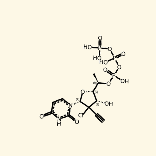 C#CC1(Cl)[C@@H](O)[C@@H]([C@@H](C)OP(=O)(O)OP(=O)(O)OP(=O)(O)O)O[C@H]1n1ccc(=O)[nH]c1=O